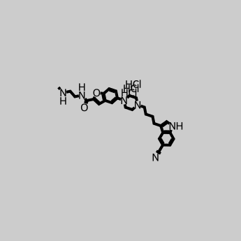 CNCCNC(=O)c1cc2cc(N3CCN(CCCCc4c[nH]c5ccc(C#N)cc45)CC3)ccc2o1.Cl.Cl.Cl